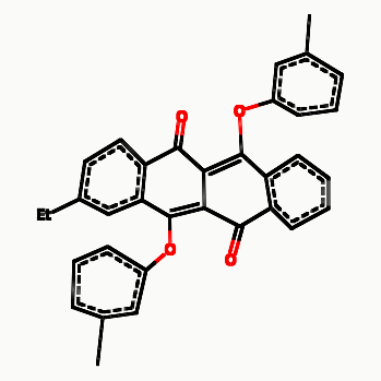 CCc1ccc2c(c1)C(Oc1cccc(C)c1)=C1C(=O)c3ccccc3C(Oc3cccc(C)c3)=C1C2=O